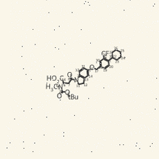 CN(C(=O)OC(C)(C)C)C(CC(=O)N1CCc2cc(OCc3ccc(C4CCCCC4)c(C(F)(F)F)c3)ccc21)C(=O)O